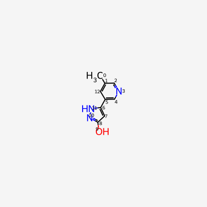 Cc1cncc(-c2cc(O)n[nH]2)c1